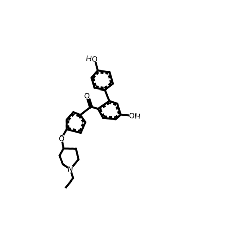 CCN1CCC(Oc2ccc(C(=O)c3ccc(O)cc3-c3ccc(O)cc3)cc2)CC1